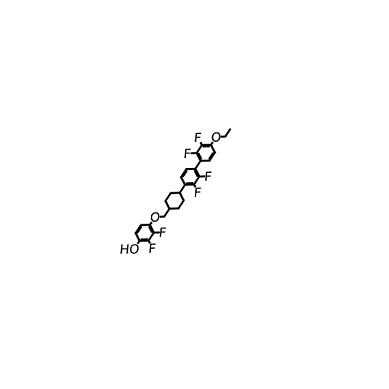 CCOc1ccc(-c2ccc(C3CCC(COc4ccc(O)c(F)c4F)CC3)c(F)c2F)c(F)c1F